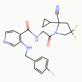 N#CC1(C2CC2)CC(F)(F)CN1C(=O)CNC(=O)c1ccncc1NCc1ccc(F)cc1